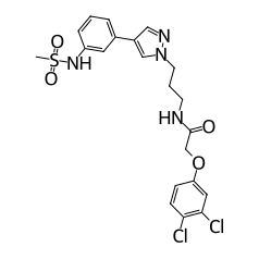 CS(=O)(=O)Nc1cccc(-c2cnn(CCCNC(=O)COc3ccc(Cl)c(Cl)c3)c2)c1